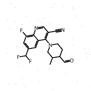 CC1CN(c2c(C#N)cnc3c(F)cc(C(F)F)cc23)CCC1C=O